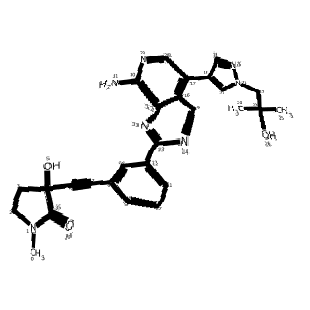 CN1CCC(O)(C#Cc2cccc(-c3ncc4c(-c5cnn(CC(C)(C)O)c5)cnc(N)c4n3)c2)C1=O